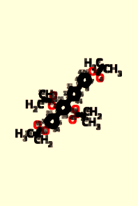 C=C(C)C(=O)Oc1ccc(-c2ccc(-c3cc(OC(=O)C(=C)C)c(-c4ccc(OC(=O)C(=C)C)cc4)cc3OC(=O)C(=C)C)cc2)cc1